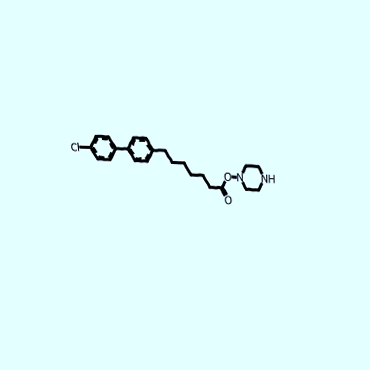 O=C(CCCCCCc1ccc(-c2ccc(Cl)cc2)cc1)ON1CCNCC1